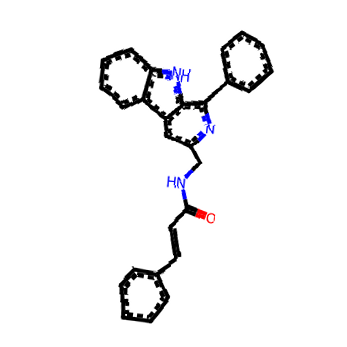 O=C(C=Cc1ccccc1)NCc1cc2c([nH]c3ccccc32)c(-c2ccccc2)n1